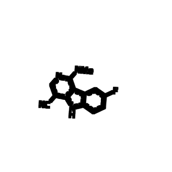 CNc1ncc(C#N)c2[nH]c3ccc(F)cc3c12